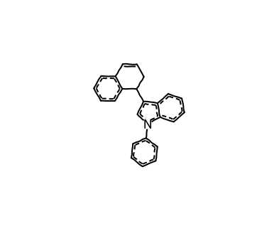 C1=Cc2ccccc2C(c2cn(-c3ccccc3)c3ccccc23)C1